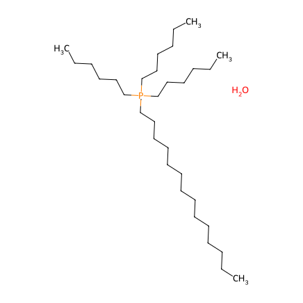 CCCCCCCCCCCCCC[P](CCCCCC)(CCCCCC)CCCCCC.O